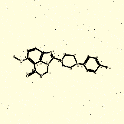 COc1ccc2nc(N3CCN(c4ccc(F)cc4)CC3)n3c2c1C(=O)CC3